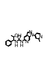 Cc1cc(-n2ncc3cc(NC(=O)NC(c4ccccc4)C(C)O)ncc32)ccn1